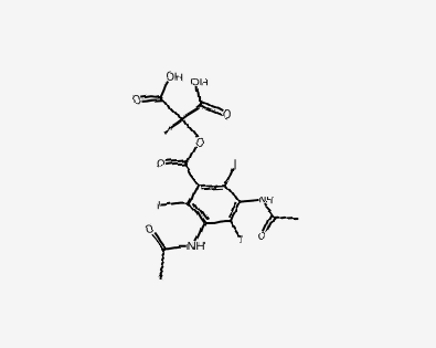 CC(=O)Nc1c(I)c(NC(C)=O)c(I)c(C(=O)OC(C)(C(=O)O)C(=O)O)c1I